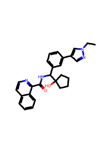 CCn1cc(-c2cccc(C(NC(=O)c3nccc4ccccc34)C3(O)CCCC3)c2)cn1